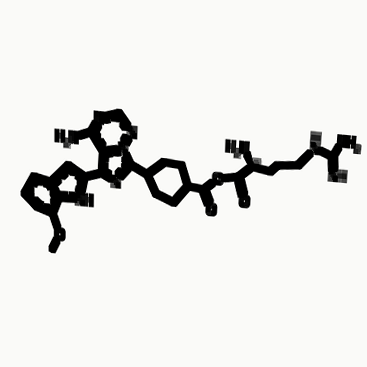 COc1cccc2cc(-c3nc(C4CCC(C(=O)OC(=O)[C@@H](N)CCCNC(=N)N)CC4)n4ncnc(N)c34)[nH]c12